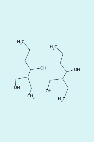 CCCC(O)C(CC)CO.CCCC(O)C(CC)CO